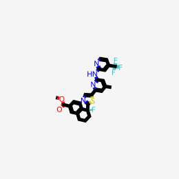 COC(=O)c1ccc2c(c1)CCC[C@@]2(F)c1ncc(-c2cc(C)cc(Nc3cc(C(F)(F)F)ccn3)n2)s1